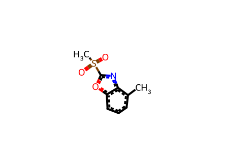 Cc1cccc2oc(S(C)(=O)=O)nc12